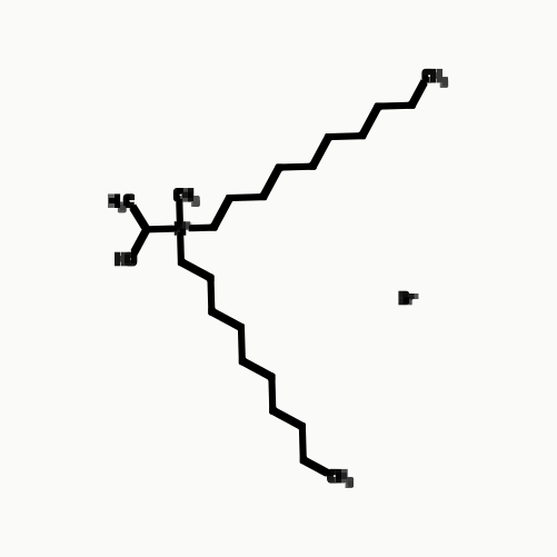 CCCCCCCCCC[N+](C)(CCCCCCCCCC)C(C)O.[Br-]